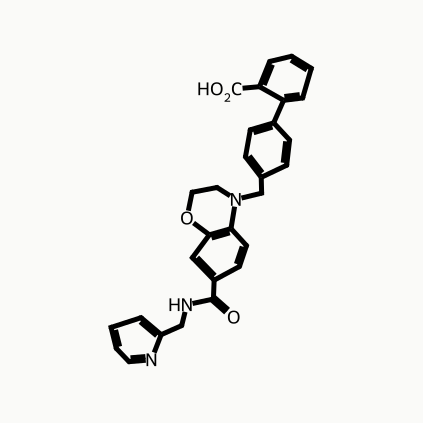 O=C(NCc1ccccn1)c1ccc2c(c1)OCCN2Cc1ccc(-c2ccccc2C(=O)O)cc1